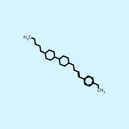 CCCCCC1CCC(C2CCC(CCC=Cc3ccc(CC)cc3)CC2)CC1